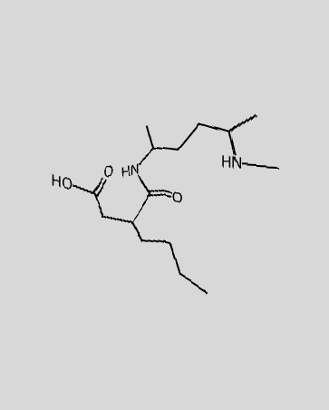 CCCCC(CC(=O)O)C(=O)NC(C)CCC(C)NC